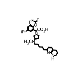 CC(C)c1cc(F)c(OC(F)F)c([C@@H](C(=O)O)N2CC[C@@H](N(C)CCCCCc3ccc4c(n3)NCCC4)C2)c1